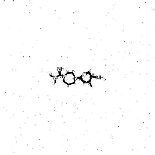 Cc1cc(N2CCCN(C(=N)N(C)C)CC2)ccc1N